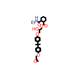 CCNC(=O)C1CCCCC1C(=O)OCC(O)COc1ccc(C(C)(C)c2ccc(OCC3CO3)cc2)cc1